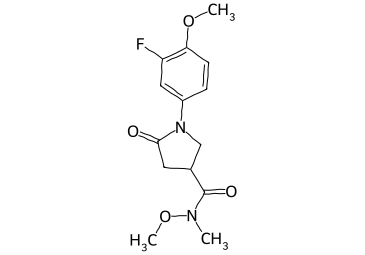 COc1ccc(N2CC(C(=O)N(C)OC)CC2=O)cc1F